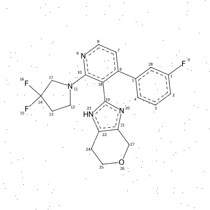 Fc1cccc(-c2ccnc(N3CCC(F)(F)C3)c2-c2nc3c([nH]2)CCOC3)c1